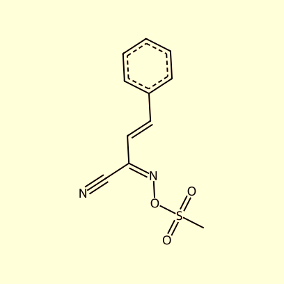 CS(=O)(=O)ON=C(C#N)C=Cc1ccccc1